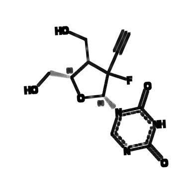 C#CC1(F)C(CO)[C@@H](CO)O[C@H]1n1cnc(=O)[nH]c1=O